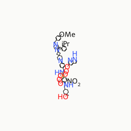 COc1ccc(CN2CCN(C3CC4(CCN(c5ccc(C(=O)NS(=O)(=O)c6cc([N+](=O)[O-])c(NCC7CCC(C)(O)CC7)c7c6OCO7)c(Oc6cnc7[nH]ccc7c6)c5)CC4)C3)[C@H](c3ccccc3C(C)C)C2)cc1